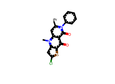 CC(C)c1cc2c(c(=O)c3sc(Cl)cc3n2C)c(=O)n1-c1ccccc1